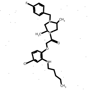 CCCCCNc1cc(Cl)ccc1OCC(=O)N1CC(C)N(Cc2ccc(F)cc2)CC1C